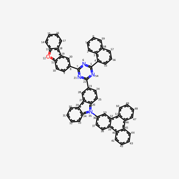 c1ccc2c(-c3nc(-c4ccc5oc6ccccc6c5c4)nc(-c4ccc5c(c4)c4ccccc4n5-c4ccc5c6ccccc6c6ccccc6c5c4)n3)cccc2c1